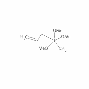 C=C[CH2][Ti]([NH2])([O]C)([O]C)[O]C